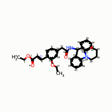 CCOC(=O)/C=C/c1ccc(CC(=O)NC(c2ccccc2)c2ccccc2N2CCCCC2)cc1OCC